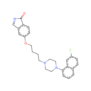 O=C1N=Cc2cc(OCCCCN3CCN(c4cccc5ccc(F)cc45)CC3)ccc21